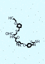 C#CCOc1cccc(CSC[C@H](C=O)NC(=O)Cn2cc(COc3ccc4nc(S)sc4c3)nn2)c1